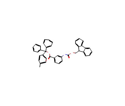 Cc1ccc(C(OC(=O)c2cccc(NC(=O)OCC3c4ccccc4-c4ccccc43)c2)(c2ccccc2)c2ccccc2Cl)cc1